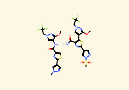 COc1nn(CC(F)(F)F)cc1-c1sc(-c2cnn(S(C)(=O)=O)c2)nc1C(N)=O.COc1nn(CC(F)(F)F)cc1NC(=O)c1csc(-c2cnn(C)c2)n1